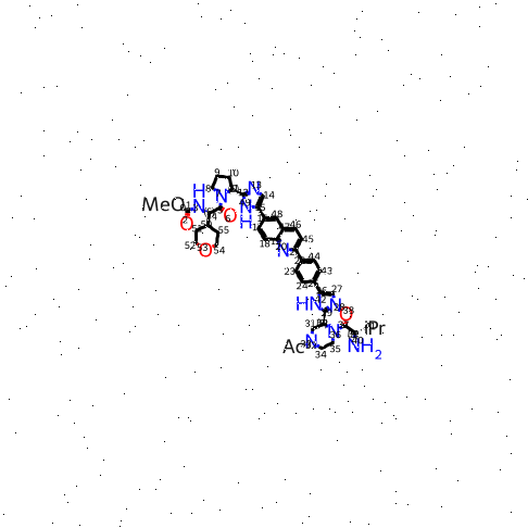 COC(=O)N[C@H](C(=O)N1CCC[C@H]1c1ncc(-c2ccc3nc(-c4ccc(-c5cnc([C@@H]6CN(C(C)=O)CCN6C(=O)[C@@H](N)C(C)C)[nH]5)cc4)ccc3c2)[nH]1)C1CCOCC1